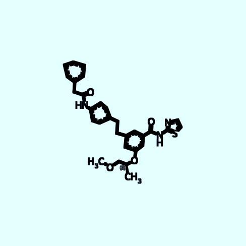 COC[C@H](C)Oc1cc(CCc2ccc(NC(=O)Cc3ccccc3)cc2)cc(C(=O)Nc2nccs2)c1